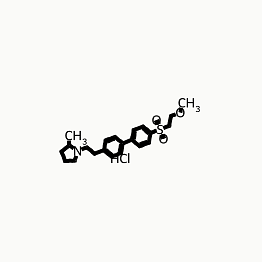 COCCS(=O)(=O)c1ccc(-c2ccc(CCN3CCCC3C)cc2)cc1.Cl